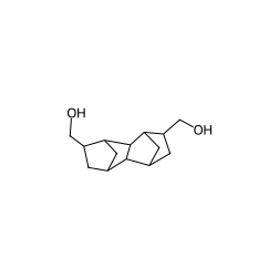 OCC1CC2CC1C1C3CC(CC3CO)C21